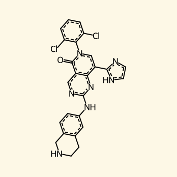 O=c1c2cnc(Nc3ccc4c(c3)CCNC4)nc2c(-c2ncc[nH]2)cn1-c1c(Cl)cccc1Cl